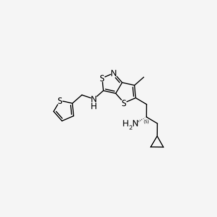 Cc1c(C[C@@H](N)CC2CC2)sc2c(NCc3cccs3)snc12